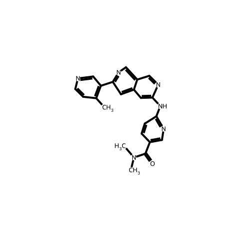 Cc1ccncc1-c1cc2cc(Nc3ccc(C(=O)N(C)C)cn3)ncc2cn1